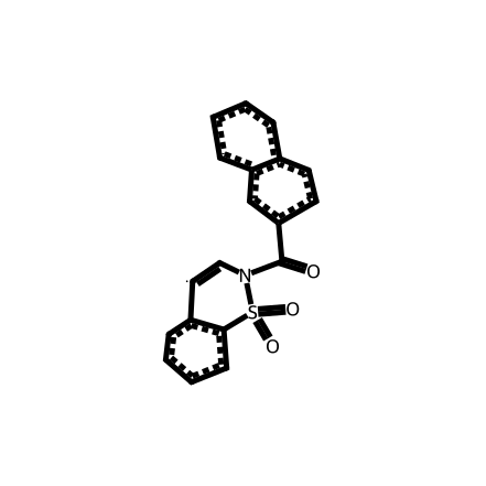 O=C(c1ccc2ccccc2c1)N1C=[C]c2ccccc2S1(=O)=O